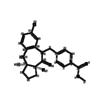 COC(=O)c1ccc(CN2C(=O)[C@H]3CCC[C@H]3Nc3ccc(Cl)cc32)cc1